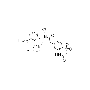 O=C1CS(=O)(=O)c2ccc(CC(=O)N(C3CC3)[C@H](CN3CC[C@H](O)C3)c3cccc(OC(F)(F)F)c3)cc2N1